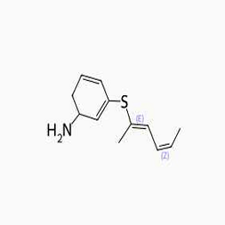 C/C=C\C=C(/C)SC1=CC(N)CC=C1